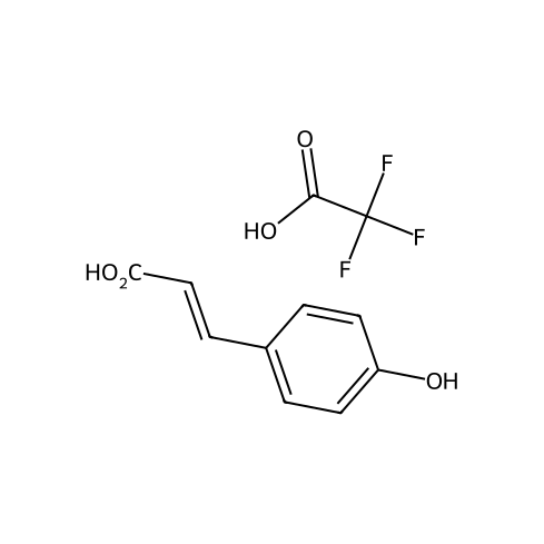 O=C(O)C(F)(F)F.O=C(O)C=Cc1ccc(O)cc1